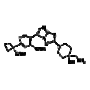 COc1cc(C2(OC)CCC2)ccc1-c1cnc2sc(N3CCC(O)(CN)CC3)nn12